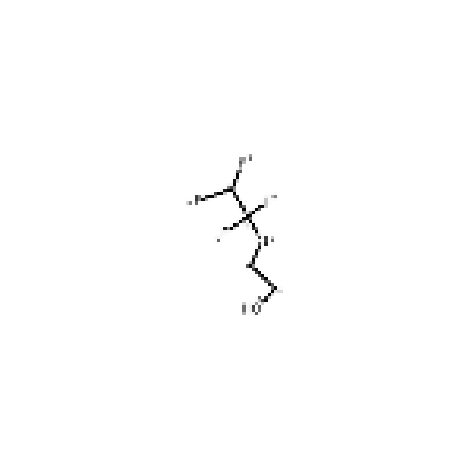 OCCOC(F)(F)C(F)F